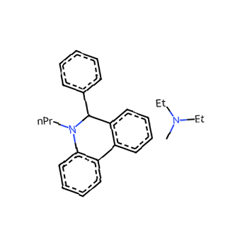 CCCN1c2ccccc2-c2ccccc2C1c1ccccc1.CCN(C)CC